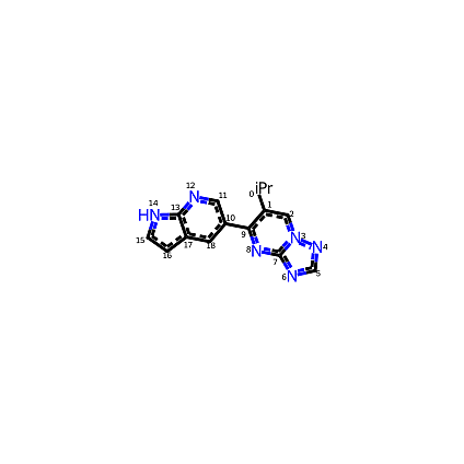 CC(C)c1cn2ncnc2nc1-c1cnc2[nH]ccc2c1